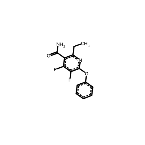 CCc1nc(Oc2ccccc2)c(F)c(F)c1C(N)=O